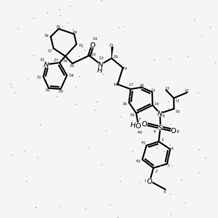 COc1ccc(S(=O)(=O)N(CC(C)C)c2ccc(CC[C@H](C)NC(=O)CC3(c4ccccn4)CCCCC3)cc2O)cc1